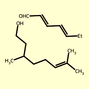 CC(C)=CCCC(C)CCO.CC/C=C/C=C/C=O